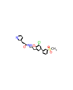 CS(=O)(=O)c1cccc(-c2cc(Cl)c3c(c2)CC(CNC(=O)C=Cc2cccnc2)O3)c1